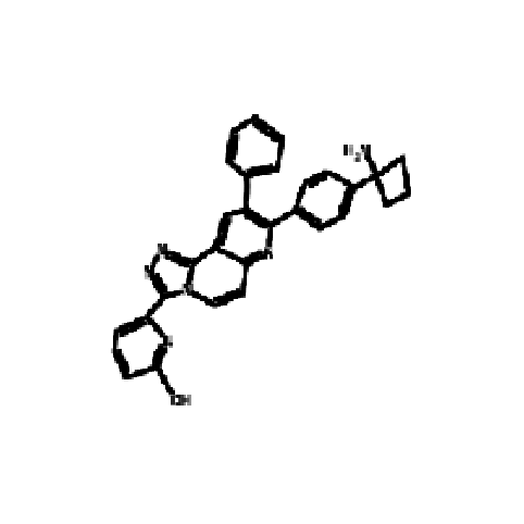 NC1(c2ccc(-c3nc4ccn5c(-c6cccc(O)n6)nnc5c4cc3-c3ccccc3)cc2)CCC1